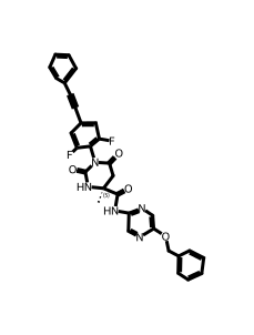 C[C@@]1(C(=O)Nc2cnc(OCc3ccccc3)cn2)CC(=O)N(c2c(F)cc(C#Cc3ccccc3)cc2F)C(=O)N1